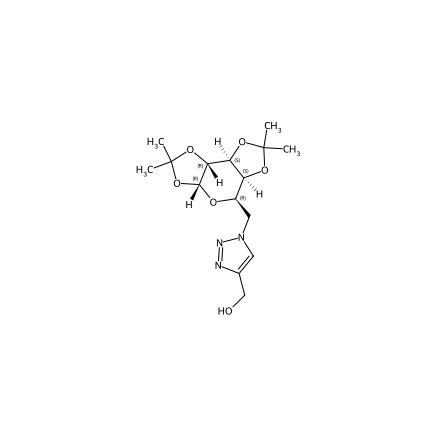 CC1(C)O[C@H]2[C@@H](O1)[C@@H](Cn1cc(CO)nn1)O[C@@H]1OC(C)(C)O[C@@H]12